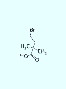 CC(C)(CCBr)C(=O)O